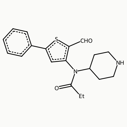 CCC(=O)N(c1cc(-c2ccccc2)sc1C=O)C1CCNCC1